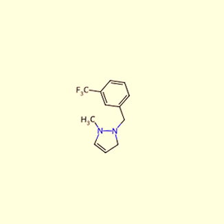 CN1C=CCN1Cc1cccc(C(F)(F)F)c1